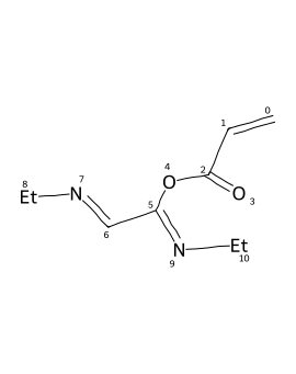 C=CC(=O)OC(C=NCC)=NCC